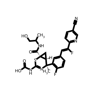 CC(CO)NC(=O)[C@]12C[C@H]1[C@@](C)(c1cc(/C=C(\F)c3ccc(C#N)cn3)ccc1F)N=C(NC(=O)O)S2